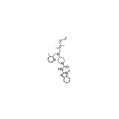 C=C/C=C\C(C)=C(/C)CN(Cc1ncccc1C)C1CCN(C(=O)Nc2nc3ccccc3n2I)CC1